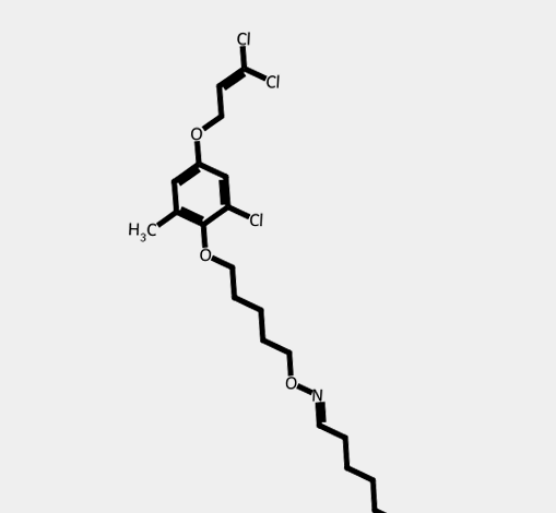 CCCCCC=NOCCCCCOc1c(C)cc(OCC=C(Cl)Cl)cc1Cl